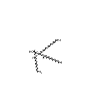 C[C@H](O)C(COP(#P)P=PP=PP=PP=PP)O[C@@H](C)[C@H](COP(#P)P=PP=PP=PP=PP=P)N=PP=PP=PP=PP=PP=PP=P